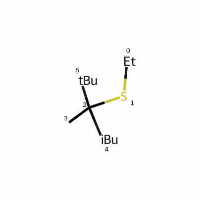 CCSC(C)(C(C)CC)C(C)(C)C